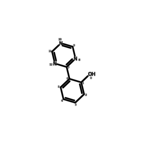 Oc1ccccc1-c1ncncn1